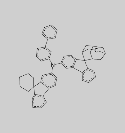 c1ccc(-c2cccc(N(c3ccc4c(c3)-c3ccccc3C43C4CCC5CC(C4)CC3C5)c3ccc4c(c3)C3(CCCCC3)c3ccccc3-4)c2)cc1